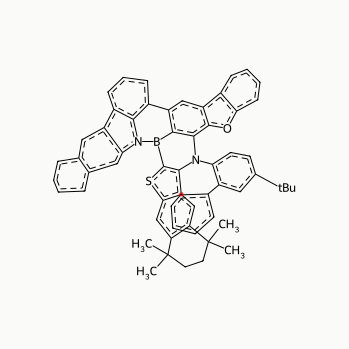 CC(C)(C)c1ccc(N2c3c(sc4cc5c(cc34)C(C)(C)CCC5(C)C)B3c4c(cc5c(oc6ccccc65)c42)-c2cccc4c5cc6ccccc6cc5n3c24)c(-c2ccccc2)c1